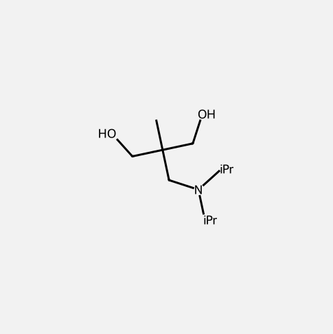 CC(C)N(CC(C)(CO)CO)C(C)C